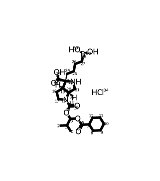 CC(C)C(OC(=O)C1CCCCC1)OC(=O)N1CC[C@H]2[C@@H]1CN[C@@]2(CCCCB(O)O)C(=O)O.Cl